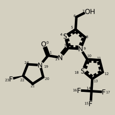 O=C(N=c1sc(CO)cn1-c1ccc(C(F)(F)F)s1)N1CC[C@@H](F)C1